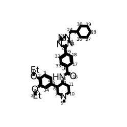 CCOc1ccc(C2CN(C)CCC2NC(=O)c2ccc(-c3nnn(CC4CCCCC4)n3)cc2)cc1OCC